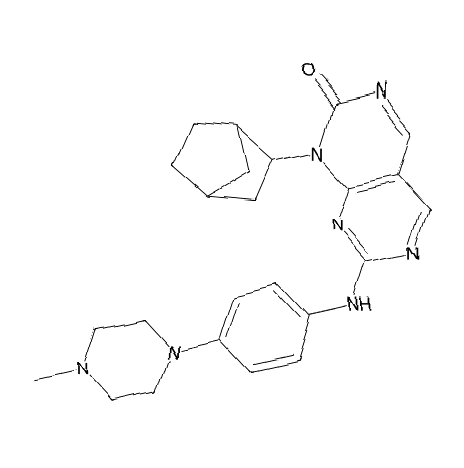 CN1CCN(c2ccc(Nc3ncc4cnc(=O)n(C5CC6CCC5C6)c4n3)cc2)CC1